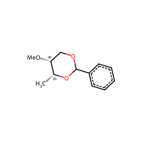 CO[C@@H]1COC(c2ccccc2)O[C@@H]1C